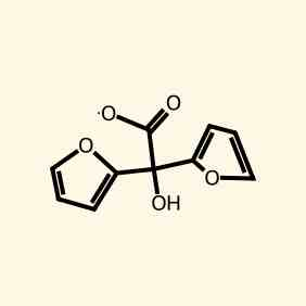 [O]C(=O)C(O)(c1ccco1)c1ccco1